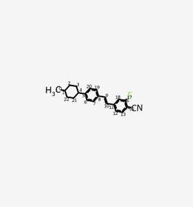 CC1CCC(c2ccc(C=Cc3ccc(C#N)c(F)c3)cc2)CC1